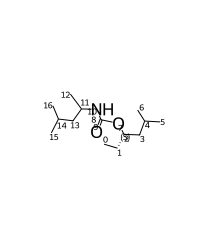 CC[C@@H](CC(C)C)OC(=O)NC(C)CC(C)C